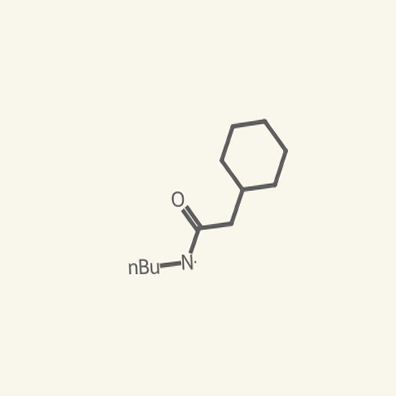 CCCC[N]C(=O)CC1CCCCC1